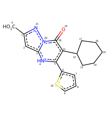 O=C(O)c1cc2[nH]c(-c3cccs3)c(C3CCCCC3)c(=O)n2n1